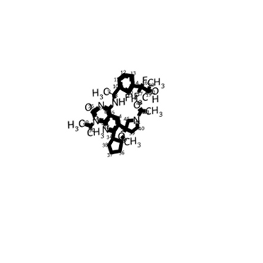 COC1(c2cc3c(N[C@H](C)c4cccc(C(F)(F)C(C)(C)O)c4F)nc(=O)n(C(C)C)c3nc2C2CCCC2)CCN(C(C)=O)C1